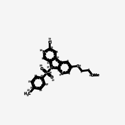 COCCOc1cnc2c(c1)c1cc(Cl)ncc1n2S(=O)(=O)c1ccc(C)cc1